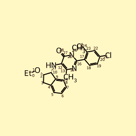 CCO[C@H]1Cc2ccccc2[C@H]1Nc1c(C)nc(-c2ccc(Cl)cc2Cl)n(C)c1=O